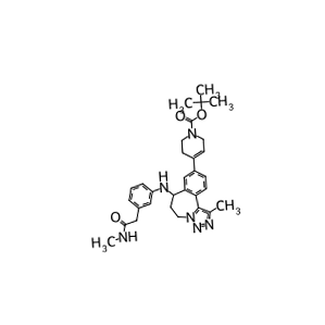 CNC(=O)Cc1cccc(NC2CCn3nnc(C)c3-c3ccc(C4=CCN(C(=O)OC(C)(C)C)CC4)cc32)c1